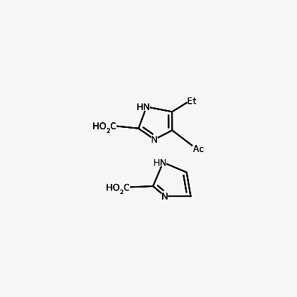 CCc1[nH]c(C(=O)O)nc1C(C)=O.O=C(O)c1ncc[nH]1